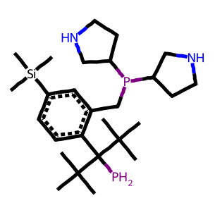 CC(C)(C)C(P)(c1ccc([Si](C)(C)C)cc1CP(C1CCNC1)C1CCNC1)C(C)(C)C